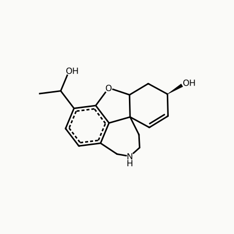 CC(O)c1ccc2c3c1OC1C[C@@H](O)C=CC31CCNC2